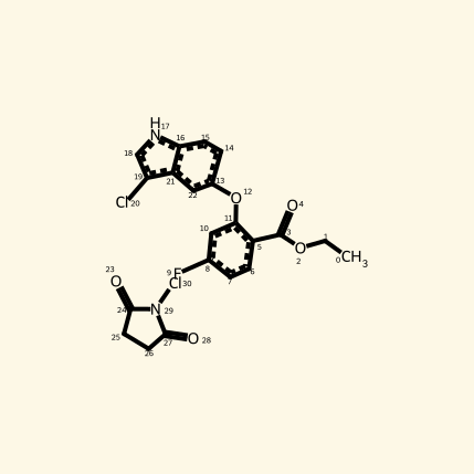 CCOC(=O)c1ccc(F)cc1Oc1ccc2[nH]cc(Cl)c2c1.O=C1CCC(=O)N1Cl